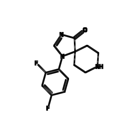 O=C1N=CN(c2ccc(F)cc2F)C12CCNCC2